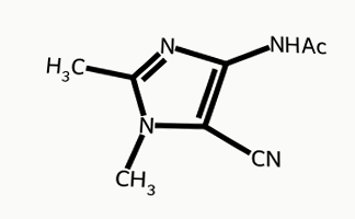 CC(=O)Nc1nc(C)n(C)c1C#N